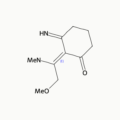 CN/C(COC)=C1\C(=N)CCCC1=O